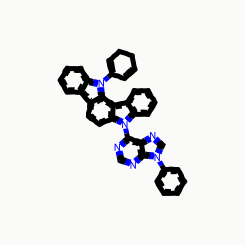 C1=CC(n2c3ccccc3c3ccc4c(c5ccccc5n4-c4ncnc5c4ncn5-c4ccccc4)c32)=CCC1